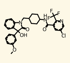 COc1cccc(C2(O)C(=O)N(CC3CCC(NC(=O)c4cc(Cl)cnc4C(F)(F)F)CC3)c3ccccc32)c1